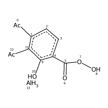 CC(=O)c1ccc(C(=O)OO)c(O)c1C(C)=O.[AlH3]